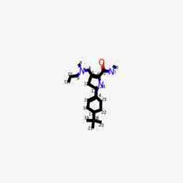 C=NC(=O)C1=C(CN(C)CCC)CC(C2=CCC(C(C)(C)C)CC2)=N1